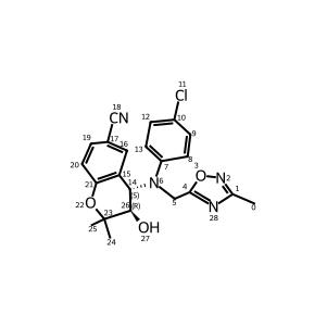 Cc1noc(CN(c2ccc(Cl)cc2)[C@H]2c3cc(C#N)ccc3OC(C)(C)[C@@H]2O)n1